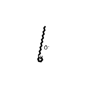 CCCCCCCCCCCCCCCC[n+]1ccccc1.C[O-]